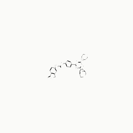 C[C@@H]1COCCN1c1nc(-c2ccc(NC(=O)Nc3ccc4c(c3)COC4=O)cc2)nc(N2C3CCC2COC3)n1